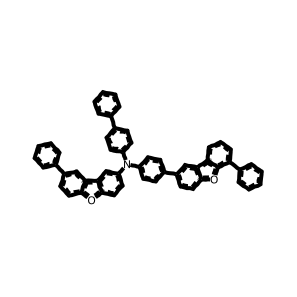 c1ccc(-c2ccc(N(c3ccc(-c4ccc5oc6c(-c7ccccc7)cccc6c5c4)cc3)c3ccc4oc5ccc(-c6ccccc6)cc5c4c3)cc2)cc1